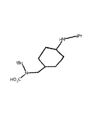 CC(C)NC1CCC(CN(C(=O)O)C(C)(C)C)CC1